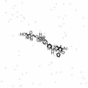 CC(=O)c1c(C)c2cnc(Nc3ccc(N4CCN(S(=O)(=O)NC(=O)OCCNC(=O)[C@@H](N)CO)CC4)cn3)nc2n(C2CCCC2)c1=O